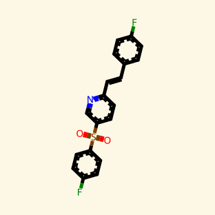 O=S(=O)(c1ccc(F)cc1)c1ccc(C=Cc2ccc(F)cc2)nc1